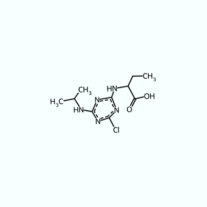 CCC(Nc1nc(Cl)nc(NC(C)C)n1)C(=O)O